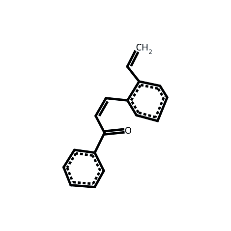 C=Cc1ccccc1/C=C\C(=O)c1ccccc1